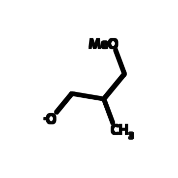 COCC(C)C[O]